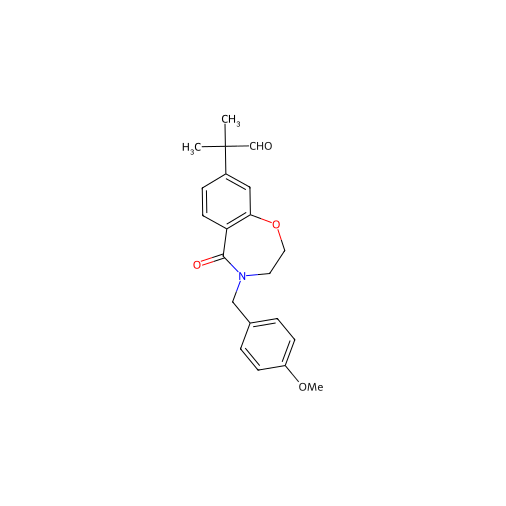 COc1ccc(CN2CCOc3cc(C(C)(C)C=O)ccc3C2=O)cc1